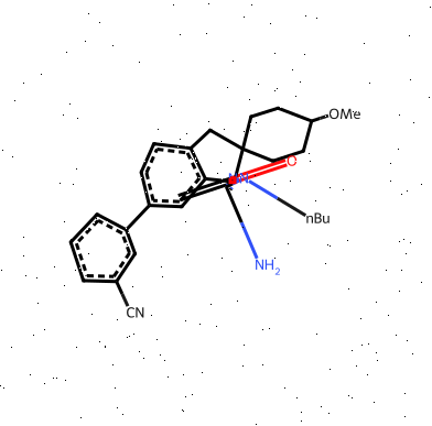 CCCCN1C(=O)C2(N=C1N)c1cc(-c3cccc(C#N)c3)ccc1CC21CCC(OC)CC1